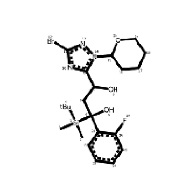 CC(C)(C)[Si](C)(C)C(O)(CC(O)c1nc(Br)nn1C1CCCCO1)c1ccccc1F